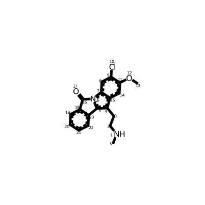 CNCCc1c2n(c3cc(Cl)c(OC)cc13)C(=O)c1ccccc1-2